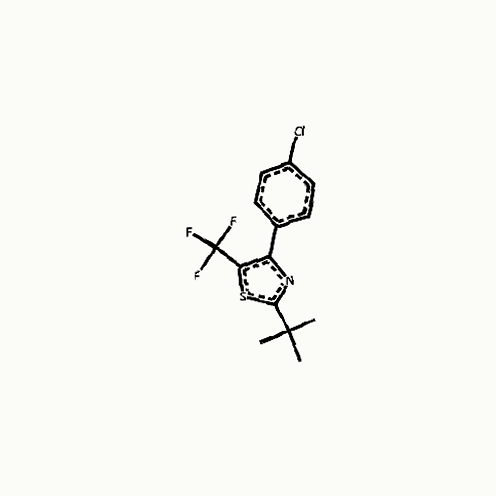 CC(C)(C)c1nc(-c2ccc(Cl)cc2)c(C(F)(F)F)s1